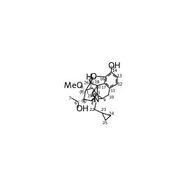 CO[C@]12C[C@@]3(C[C@@H]1C(C)O)C1Cc4ccc(O)c5c4[C@@]3(CCN1CC1CC1)[C@H]2O5